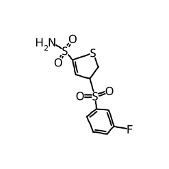 NS(=O)(=O)C1=CC(S(=O)(=O)c2cccc(F)c2)CS1